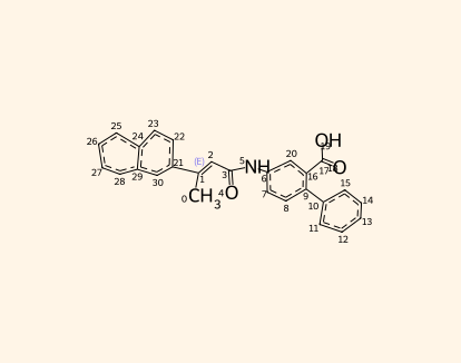 C/C(=C\C(=O)Nc1ccc(-c2ccccc2)c(C(=O)O)c1)c1ccc2ccccc2c1